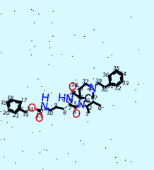 CCC(C)N1C(=O)[C@H](CCCNC(=O)OCc2ccccc2)NC(=O)C12CCN(CCc1ccccc1)CC2